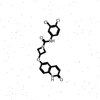 O=C(Nc1ccc(Cl)c(Cl)c1)N1CC(Oc2ccc3[nH]c(=O)ccc3c2)C1